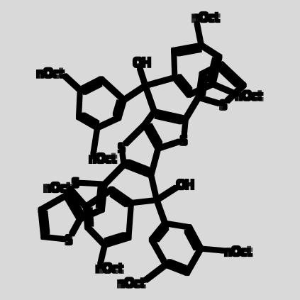 CCCCCCCCc1cc(CCCCCCCC)cc(C(O)(c2cc(CCCCCCCC)cc(CCCCCCCC)c2)c2c(-c3cccs3)sc3c(C(O)(c4cc(CCCCCCCC)cc(CCCCCCCC)c4)c4cc(CCCCCCCC)cc(CCCCCCCC)c4)c(-c4cc5sccc5s4)sc23)c1